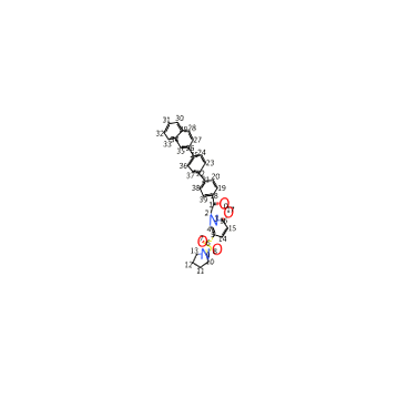 O=C(Cn1cc(S(=O)(=O)N2CCCC2)ccc1=O)c1ccc(-c2ccc(-c3ccc4ccccc4c3)cc2)cc1